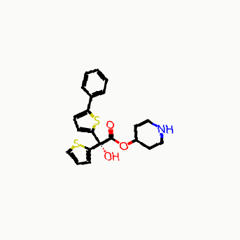 O=C(OC1CCNCC1)[C@@](O)(c1cccs1)c1ccc(-c2ccccc2)s1